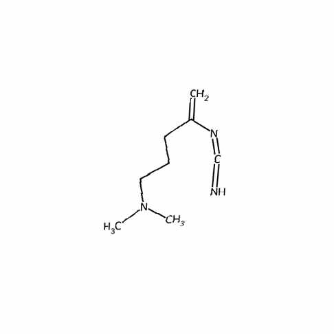 C=C(CCCN(C)C)N=C=N